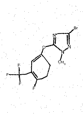 Cn1nc(Br)nc1OC1=CC(C(F)(F)F)=C(F)CC1